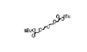 CC(C)(C)OC(=O)COCCOCCOCC(=O)OC(C)(C)C